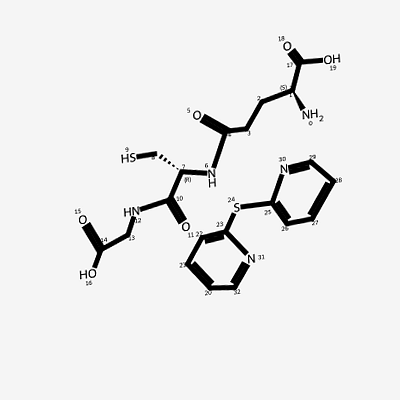 N[C@@H](CCC(=O)N[C@@H](CS)C(=O)NCC(=O)O)C(=O)O.c1ccc(Sc2ccccn2)nc1